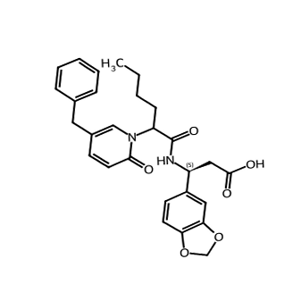 CCCCC(C(=O)N[C@@H](CC(=O)O)c1ccc2c(c1)OCO2)n1cc(Cc2ccccc2)ccc1=O